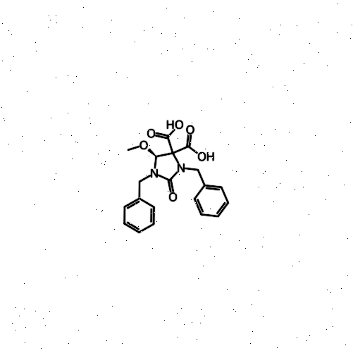 CO[C@@H]1N(Cc2ccccc2)C(=O)N(Cc2ccccc2)C1(C(=O)O)C(=O)O